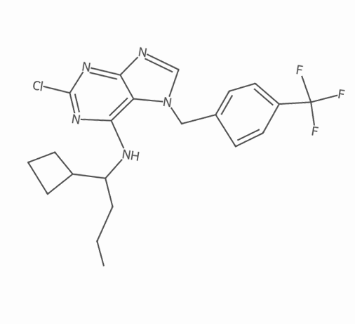 CCCC(Nc1nc(Cl)nc2ncn(Cc3ccc(C(F)(F)F)cc3)c12)C1CCC1